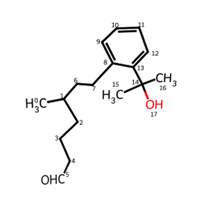 CC(CCCC=O)CCc1ccccc1C(C)(C)O